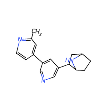 Cc1cc(-c2cncc(C3CC4CCC3N4)c2)ccn1